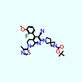 COc1cccc(-c2c(C#N)c(N3CCC4(CN(C(=O)OC(C)(C)C)C4)C3)nc3c2CCN(c2scnc2C)C3)c1F